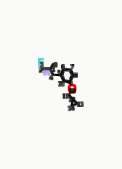 C/C(=C\F)Cc1cccc(OCC2CC2)c1